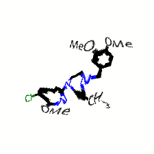 COc1ccc(CN2CCN(c3ccc(Cl)c(OC)n3)C[C@@H]2C)cc1OC